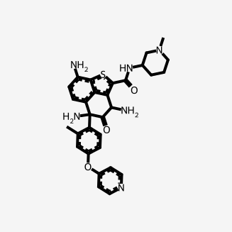 Cc1cc(Oc2ccncc2)ccc1C1(N)C(=O)C(N)c2c(C(=O)NC3CCCN(C)C3)sc3c(N)ccc1c23